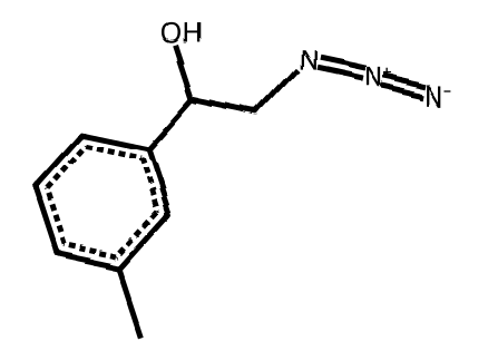 Cc1cccc(C(O)CN=[N+]=[N-])c1